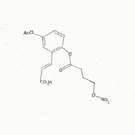 CC(=O)Oc1ccc(OC(=O)CCCO[N+](=O)[O-])c(C=CC(=O)O)c1